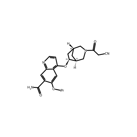 CC(C)Oc1cc2c(O[C@H]3C[C@H]4C[C@H]3CN(C(=O)CC#N)C4)ccnc2cc1C(N)=O